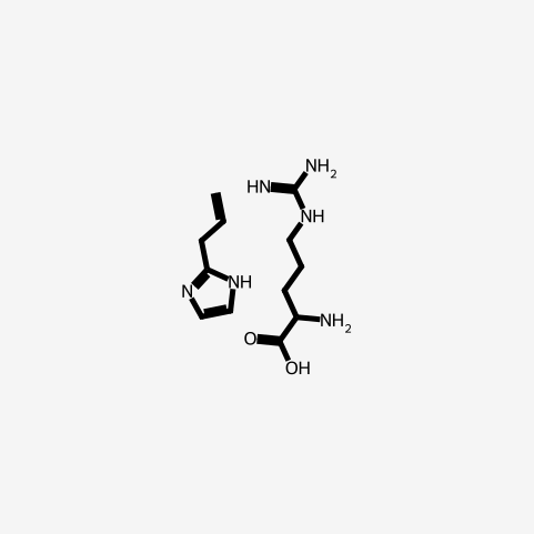 C=CCc1ncc[nH]1.N=C(N)NCCCC(N)C(=O)O